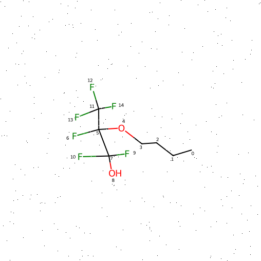 CCCCOC(F)(C(O)(F)F)C(F)(F)F